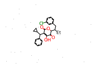 CCC(Cc1cccc(Cl)c1)C1OC(=O)C(C(c2ccccc2)C2CC2)=C(O)C1=O